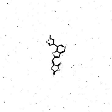 O=C1NC(=S)S/C1=C/c1cc2cncc(-c3cn[nH]c3)c2o1